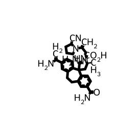 C=C(N)c1ccc2c(c1)CCc1cc(C(N)=O)ccc1C2(C[C@H](C)NCC(=C)N1CCCC1C#N)/C(N)=N/C(=O)O